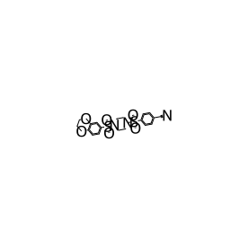 N#Cc1ccc(S(=O)(=O)N2CCN(S(=O)(=O)c3ccc4c(c3)OCCO4)CC2)cc1